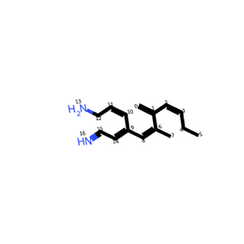 C=C(/C=C\CC)\C(C)=C/C(/C=C\CN)=C/C=N